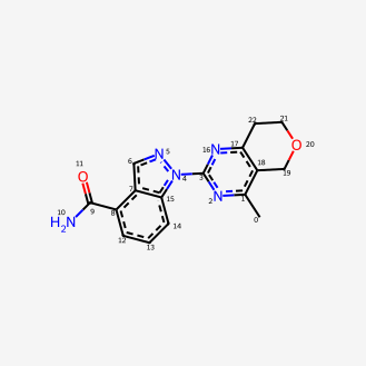 Cc1nc(-n2ncc3c(C(N)=O)cccc32)nc2c1COCC2